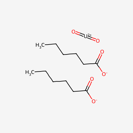 CCCCCC(=O)[O-].CCCCCC(=O)[O-].[O]=[U+2]=[O]